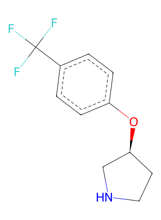 FC(F)(F)c1ccc(O[C@H]2CCNC2)cc1